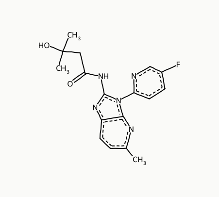 Cc1ccc2nc(NC(=O)CC(C)(C)O)n(-c3ccc(F)cn3)c2n1